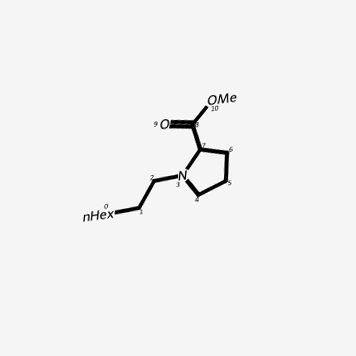 CCCCCCCCN1CCCC1C(=O)OC